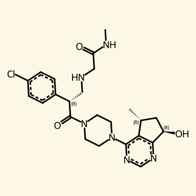 CNC(=O)CNC[C@H](C(=O)N1CCN(c2ncnc3c2[C@H](C)C[C@H]3O)CC1)c1ccc(Cl)cc1